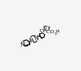 CCC(Oc1cccc(N2CCN(c3ccncc3)CC2)c1)C(=O)O